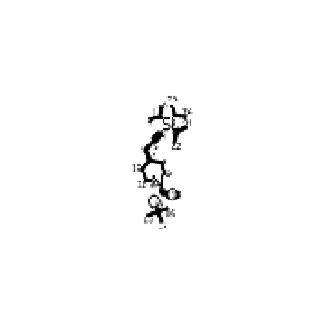 CC(C)[Si](C#CCC1CCN(C(=O)OC(C)(C)C)CC1)(C(C)C)C(C)C